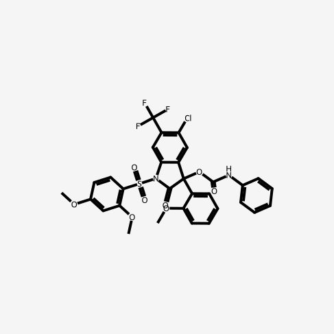 COc1ccc(S(=O)(=O)N2C(=O)C(OC(=O)Nc3ccccc3)(c3ccccc3OC)c3cc(Cl)c(C(F)(F)F)cc32)c(OC)c1